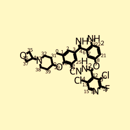 Cc1cc(C(=N)c2cc(O[C@H](N)c3c(Cl)cnc(F)c3Cl)ccc2N)cc(C#N)c1OC1CCN(C2COC2)CC1